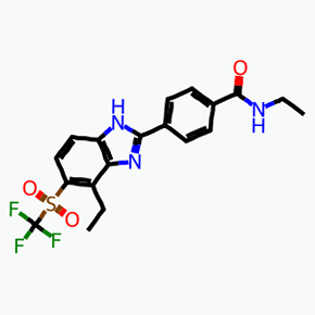 CCNC(=O)c1ccc(-c2nc3c(CC)c(S(=O)(=O)C(F)(F)F)ccc3[nH]2)cc1